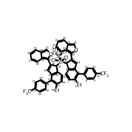 CCc1ccc2c(c1-c1ccc(C(F)(F)F)cc1)C=C(c1occ3ccccc13)[CH]2[Zr]([Cl])([Cl])([CH]1C(c2occ3ccccc23)=Cc2c1ccc(CC)c2-c1ccc(C(F)(F)F)cc1)=[Si](C)C